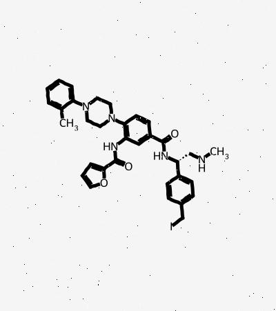 CNC[C@@H](NC(=O)c1ccc(N2CCN(c3ccccc3C)CC2)c(NC(=O)c2ccco2)c1)c1ccc(CI)cc1